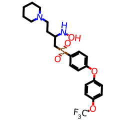 O=S(=O)(CC(CCN1CCCCC1)NO)c1ccc(Oc2ccc(OC(F)(F)F)cc2)cc1